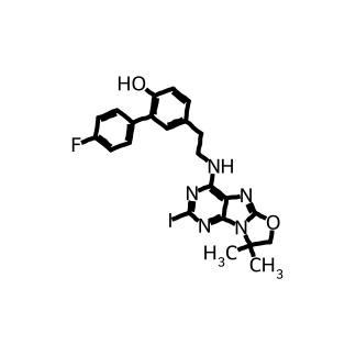 CC1(C)COc2nc3c(NCCc4ccc(O)c(-c5ccc(F)cc5)c4)nc(I)nc3n21